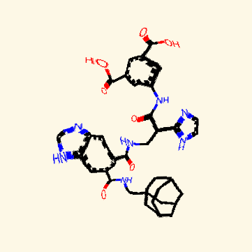 O=C(O)c1cc(NC(=O)C(CNC(=O)c2cc3nc[nH]c3cc2C(=O)NCC23CC4CC(CC(C4)C2)C3)c2ncc[nH]2)cc(C(=O)O)c1